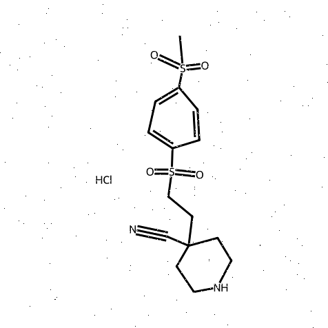 CS(=O)(=O)c1ccc(S(=O)(=O)CCC2(C#N)CCNCC2)cc1.Cl